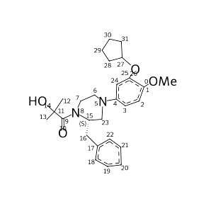 COc1ccc(N2CCN(C(=O)C(C)(C)O)[C@@H](Cc3ccccc3)C2)cc1OC1CCCC1